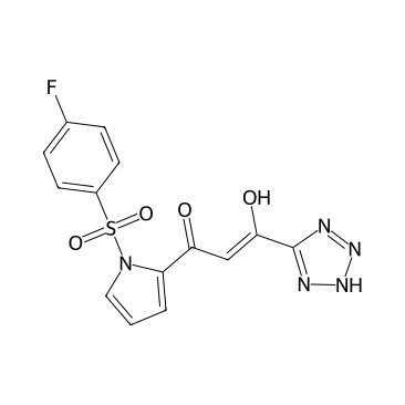 O=C(C=C(O)c1nn[nH]n1)c1cccn1S(=O)(=O)c1ccc(F)cc1